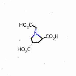 O=C(O)CN1C[C@@H](C(=O)O)C[C@@H]1C(=O)O